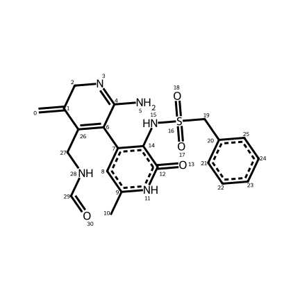 C=C1CN=C(N)C(c2cc(C)[nH]c(=O)c2NS(=O)(=O)Cc2ccccc2)=C1CNC=O